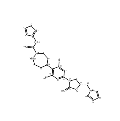 O=C(Nc1ccon1)N1CCN(c2c(F)cc(N3C[C@H](Cn4ccnn4)OC3=O)cc2F)CCN1